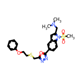 CN(C)Cc1cc2cc(-c3nnc(CSCCOc4ccccc4)o3)ccc2n1S(C)(=O)=O